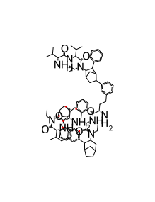 CCN(C(=O)[C@H](Cc1ccccc1)NC(=O)[C@@H](N)CCc1cccc(C2CC3CC2C(c2ccccc2)C3N(CC)C(=O)[C@@H](NC(=O)[C@@H](N)C(C)C)C(C)C)c1)C1CC2CCC(C2)C1c1cccc(CC(C)[C@@H](NC(=O)[C@@H](N)C(C)C)C(=O)N(CC)C2C3CCC(C3)C2c2ccccc2)c1